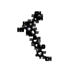 C#Cc1cccc(C(=O)N2CCC3(CCN(c4ccc(C5=CC(C6=CN(C)NC6)=CN/C5=C(/C#N)C=N)cn4)CC3)C2)c1